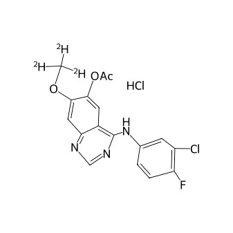 Cl.[2H]C([2H])([2H])Oc1cc2ncnc(Nc3ccc(F)c(Cl)c3)c2cc1OC(C)=O